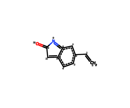 C=Cc1ccc2c(c1)=NC(=O)C=2